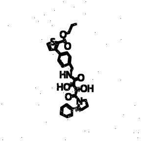 CCCOC(=O)c1sccc1-c1ccc(CNC(=O)[C@H](O)[C@@H](O)C(=O)N2CCC[C@@H]2c2ccccc2)cc1